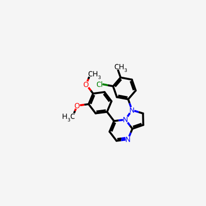 COc1ccc(C2=CC=NC3=CCN(c4ccc(C)c(Cl)c4)N32)cc1OC